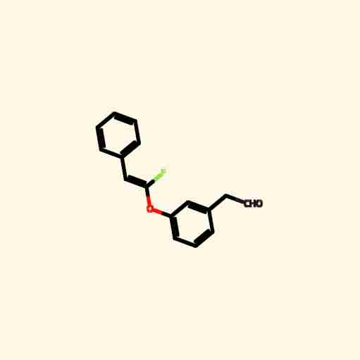 O=CCc1cccc(OC(F)=Cc2ccccc2)c1